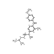 COc1ccc(Nc2ccc(C(O)NCCC(C)C)cc2C)cc1